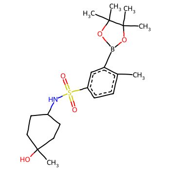 Cc1ccc(S(=O)(=O)NC2CCC(C)(O)CC2)cc1B1OC(C)(C)C(C)(C)O1